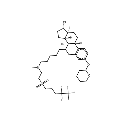 CN(CCCCC[C@@H]1Cc2cc(OC3CCCCO3)ccc2[C@H]2CC[C@]3(C)[C@@H](O)CC[C@H]3[C@H]12)CCS(=O)(=O)CCCC(F)(F)C(F)(F)F